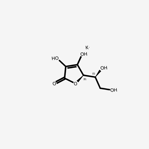 O=C1O[C@H]([C@@H](O)CO)C(O)=C1O.[K]